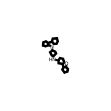 c1ccc2c(c1)oc1ccc(Nc3ccc(-n4c5ccccc5c5ccccc54)cc3)cc12